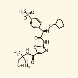 CC(C)(CO)NC(=O)c1cnc(NC(=O)/C(=N/OC2CCCC2)c2ccc(S(C)(=O)=O)cc2)s1